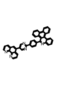 c1cnc2c(c1)cc(-c1cnc(-c3ccc(-c4nc5ccccc5c5c6ccccc6c6ccccc6c45)cc3)nc1)c1cccnc12